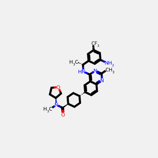 Cc1nc(N[C@H](C)c2cc(N)cc(C(F)(F)F)c2)c2cc([C@H]3CC[C@H](C(=O)N(C)[C@H]4CCOC4)CC3)ccc2n1